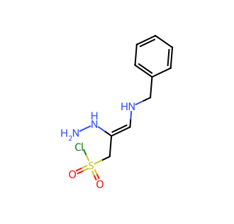 NN/C(=C\NCc1ccccc1)CS(=O)(=O)Cl